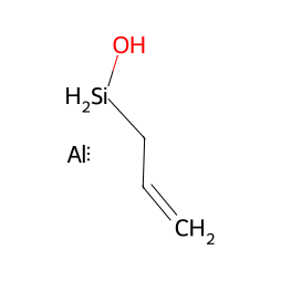 C=CC[SiH2]O.[Al]